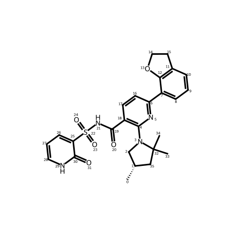 C[C@@H]1CN(c2nc(-c3cccc4c3OCC4)ccc2C(=O)NS(=O)(=O)c2ccc[nH]c2=O)C(C)(C)C1